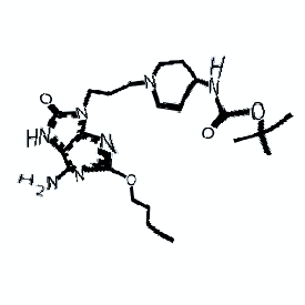 CCCCOc1nc(N)c2[nH]c(=O)n(CCCN3CCC(NC(=O)OC(C)(C)C)CC3)c2n1